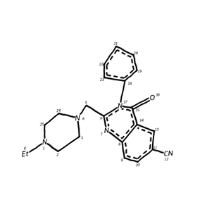 CCN1CCN(Cc2nc3ccc(C#N)cc3c(=O)n2-c2ccccc2)CC1